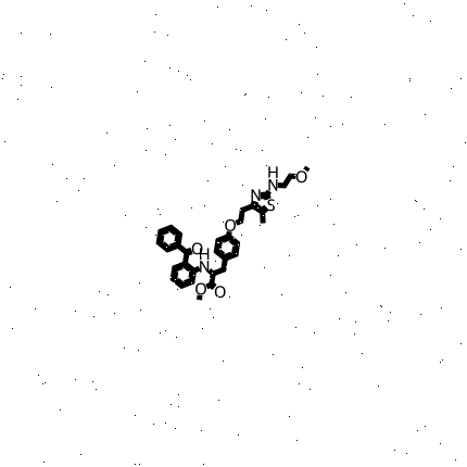 COCCNc1nc(CCOc2ccc(CC(Nc3ccccc3C(=O)c3ccccc3)C(=O)OC)cc2)c(C)s1